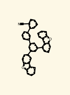 N#Cc1ccccc1-c1cccc(-c2cc(-c3ccc4oc5ccccc5c4c3)cc(-c3cccc4oc5ccccc5c34)c2)c1